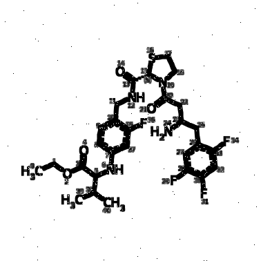 CCOC(=O)C(Nc1ccc(CNC(=O)[C@@H]2SCCN2C(=O)CC(N)Cc2cc(F)c(F)cc2F)c(F)c1)C(C)C